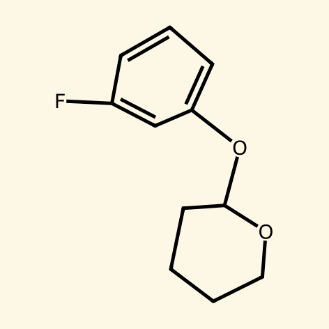 Fc1cccc(OC2CCCCO2)c1